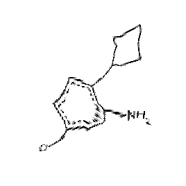 Nc1cc(Cl)ccc1C1CCC1